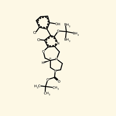 BC(B)(B)Oc1nc2c(c(Cl)c1-c1c(O)cccc1Cl)OC[C@H]1CN(C(=O)OC(C)(C)C)CCN1C2